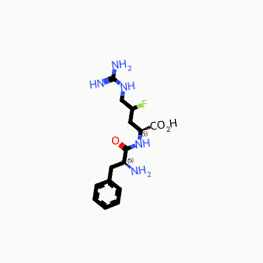 N=C(N)NCC(F)C[C@H](NC(=O)[C@@H](N)Cc1ccccc1)C(=O)O